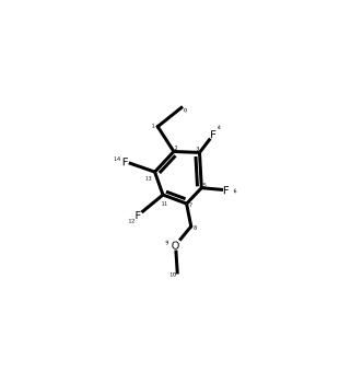 CCc1c(F)c(F)c(COC)c(F)c1F